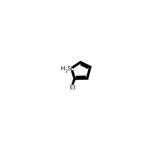 CCC1=CC=C[SiH2]1